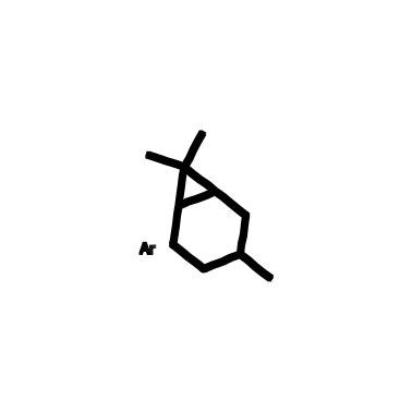 CC1CCC2C(C1)C2(C)C.[Ar]